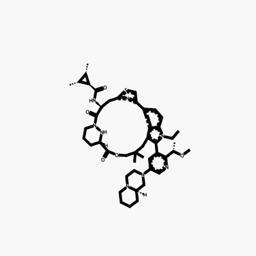 CCn1c(-c2cc(N3CCN4CCCC[C@@H]4C3)cnc2[C@H](C)OC)c2c3cc(ccc31)-c1csc(n1)C[C@H](NC(=O)[C@H]1[C@H](C)[C@@H]1C)C(=O)N1CCC[C@H](N1)C(=O)OCC(C)(C)C2